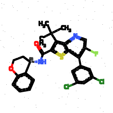 CC(C)(C)c1c(C(=O)N[C@H]2CCOc3ccccc32)sc2c(-c3cc(Cl)cc(Cl)c3)c(F)cnc12